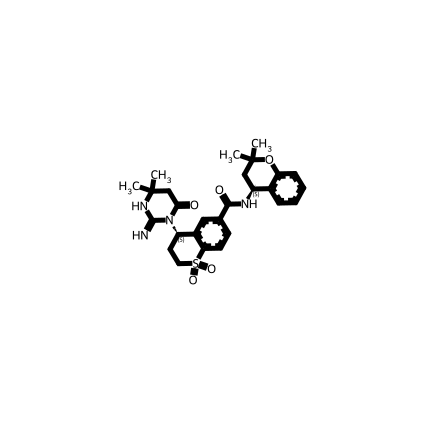 CC1(C)CC(=O)N([C@H]2CCS(=O)(=O)c3ccc(C(=O)N[C@H]4CC(C)(C)Oc5ccccc54)cc32)C(=N)N1